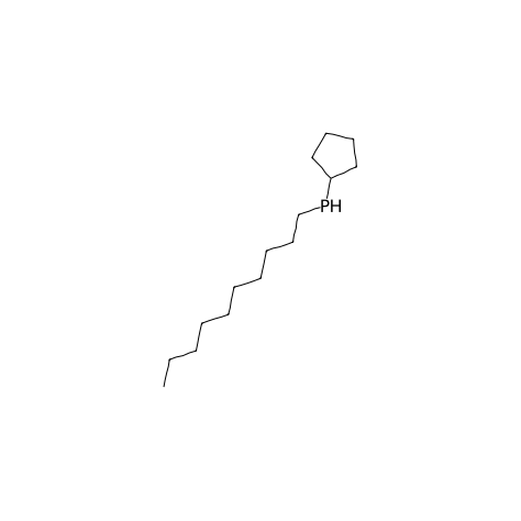 CCCCCCCCCCPC1CCCC1